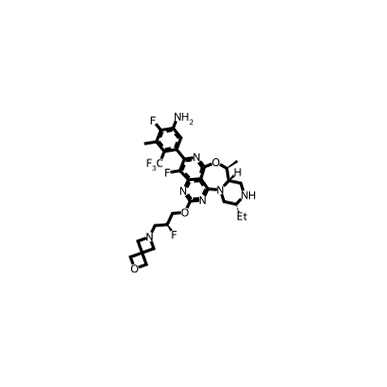 CC[C@@H]1CN2c3nc(OC[C@@H](F)CN4CC5(COC5)C4)nc4c(F)c(-c5cc(N)c(F)c(C)c5C(F)(F)F)nc(c34)O[C@@H](C)[C@@H]2CN1